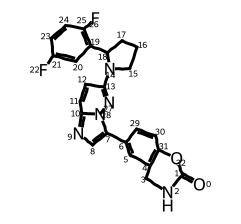 O=C1NCc2cc(-c3cnc4ccc(N5CCCC5c5cc(F)ccc5F)nn34)ccc2O1